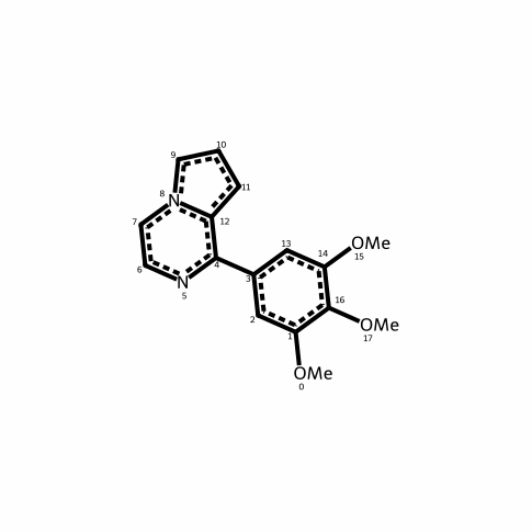 COc1cc(-c2nccn3cccc23)cc(OC)c1OC